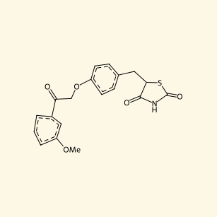 COc1cccc(C(=O)COc2ccc(CC3SC(=O)NC3=O)cc2)c1